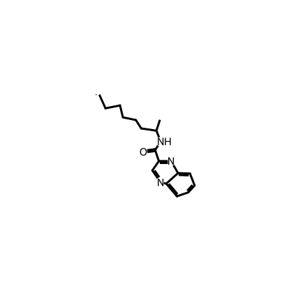 [CH2]CCCCCC(C)NC(=O)c1cnc2ccccc2n1